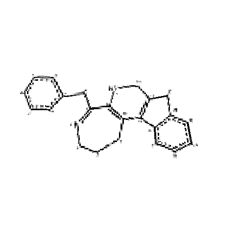 c1ccc(CC2=NCCCC3=C2NCC2=C3c3ccccc3C2)cc1